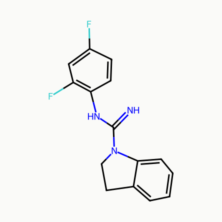 N=C(Nc1ccc(F)cc1F)N1CCc2ccccc21